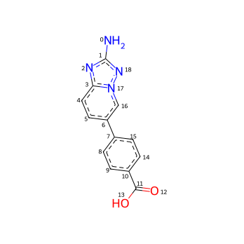 Nc1nc2ccc(-c3ccc(C(=O)O)cc3)cn2n1